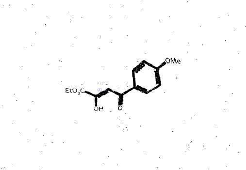 CCOC(=O)/C(O)=C/C(=O)c1ccc(OC)cc1